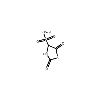 CCCCCS(=O)(=O)C1NC(=O)SC1=O